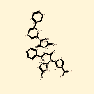 CCC(=O)c1csc(N(C(=O)[C@H]([C@@H](C)c2ccccc2)N2C(=O)N[C@H](C3=COC=C(C4=CC=CCC4)O3)C2=O)c2nc(C(C)=O)cs2)n1